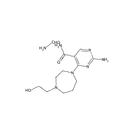 NC(=O)c1cnc(N)nc1N1CCCN(CCO)CC1.NC=O